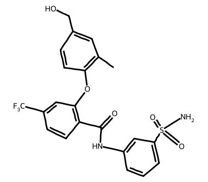 Cc1cc(CO)ccc1Oc1cc(C(F)(F)F)ccc1C(=O)Nc1cccc(S(N)(=O)=O)c1